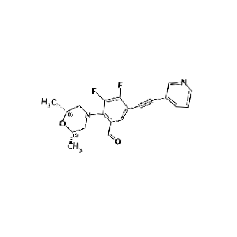 C[C@@H]1CN(c2c(C=O)cc(C#Cc3cccnc3)c(F)c2F)C[C@H](C)O1